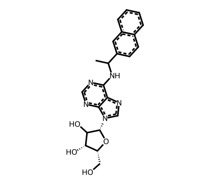 CC(Nc1ncnc2c1ncn2[C@@H]1O[C@H](CO)[C@H](O)C1O)c1ccc2ccccc2c1